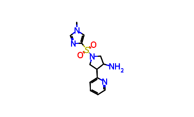 Cn1cnc(S(=O)(=O)N2CC(N)C(c3ccccn3)C2)c1